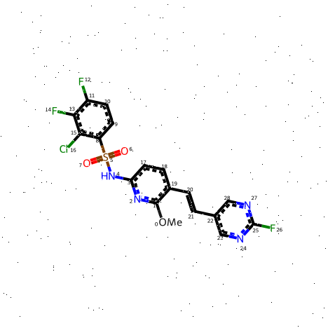 COc1nc(NS(=O)(=O)c2ccc(F)c(F)c2Cl)ccc1/C=C/c1cnc(F)nc1